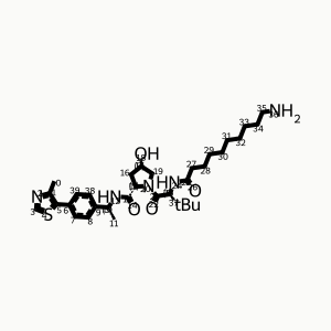 Cc1ncsc1-c1ccc([C@H](C)NC(=O)[C@@H]2C[C@@H](O)CN2C(=O)[C@@H](NC(=O)CCCCCCCCCN)C(C)(C)C)cc1